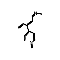 C=CC(=C\C=N/C)/C(/C=C\N=C)=C/C